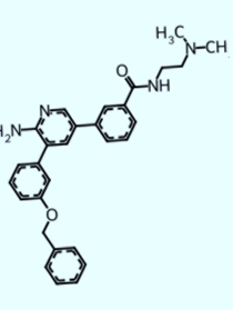 CN(C)CCNC(=O)c1cccc(-c2cnc(N)c(-c3cccc(OCc4ccccc4)c3)c2)c1